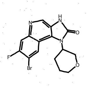 O=c1[nH]c2cnc3cc(F)c(Br)cc3c2n1C1CCCOC1